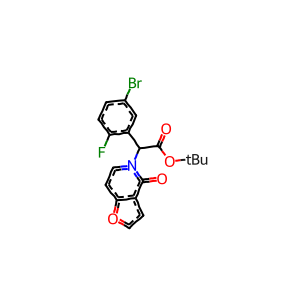 CC(C)(C)OC(=O)C(c1cc(Br)ccc1F)n1ccc2occc2c1=O